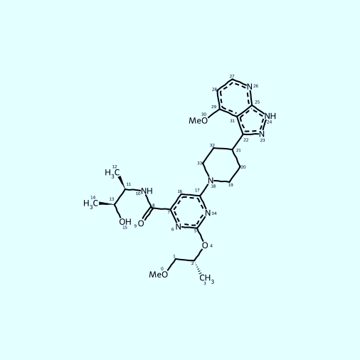 COC[C@@H](C)Oc1nc(C(=O)N[C@H](C)[C@H](C)O)cc(N2CCC(c3n[nH]c4nccc(OC)c34)CC2)n1